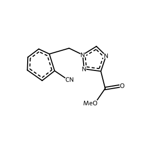 COC(=O)c1ncn(Cc2ccccc2C#N)n1